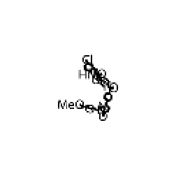 COCCOCCn1nc(-c2ccc(C(=O)N3CCN(S(=O)(=O)c4cc5cc(Cl)ccc5[nH]4)CC3)cc2)ccc1=O